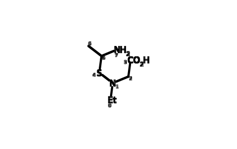 CCN(CC(=O)O)SC(C)N